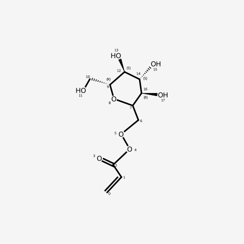 C=CC(=O)OOCC1O[C@H](CO)[C@@H](O)[C@H](O)[C@H]1O